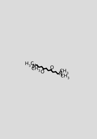 CN(C)CCCC(=O)CCC(=O)CCCN(C)C